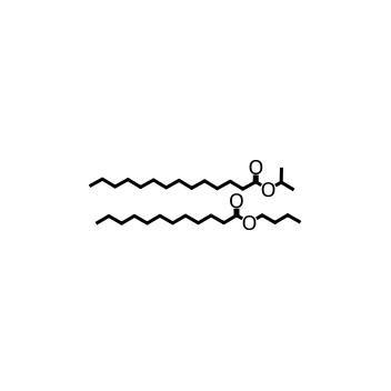 CCCCCCCCCCCC(=O)OCCCC.CCCCCCCCCCCCCC(=O)OC(C)C